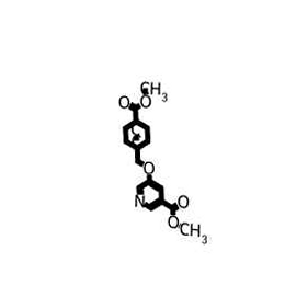 COC(=O)c1cncc(OCC23CCC(C(=O)OC)(CC2)CC3)c1